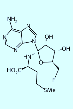 CSCC[C@H](N[C@@]1(n2cnc3c(N)ncnc32)O[C@H](CF)[C@@H](O)[C@H]1O)C(=O)O